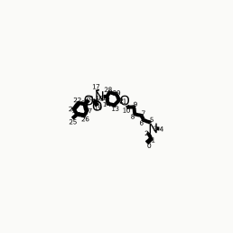 C=CCN(C)CCCCCCOC1CCC(N(C)C(=O)Oc2ccc(C)cc2)CC1